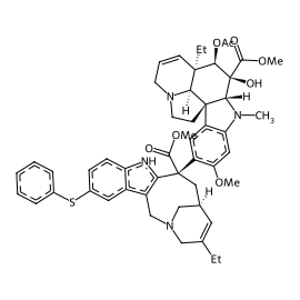 CCC1=C[C@H]2CN(C1)Cc1c([nH]c3ccc(Sc4ccccc4)cc13)[C@@](C(=O)OC)(c1cc3c(cc1OC)N(C)[C@H]1[C@@](O)(C(=O)OC)[C@H](OC(C)=O)[C@]4(CC)C=CCN5CC[C@]31[C@@H]54)C2